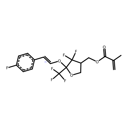 C=C(C)C(=O)OCC1COC(O/C=C/c2ccc(F)cc2)(C(F)(F)F)C1(F)F